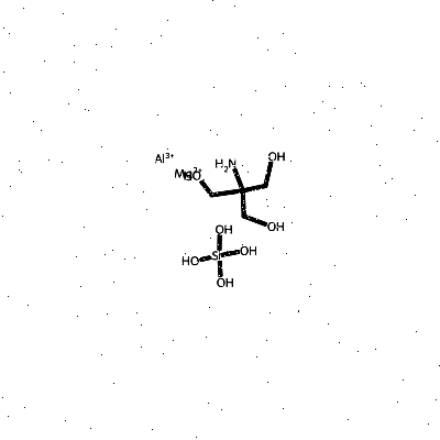 NC(CO)(CO)CO.O[Si](O)(O)O.[Al+3].[Mg+2]